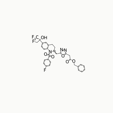 O=C(Cc1nnc(C[C@@H]2CCc3cc(C(O)(CF)C(F)(F)F)ccc3N2S(=O)(=O)c2ccc(F)cc2)o1)OCc1ccccc1